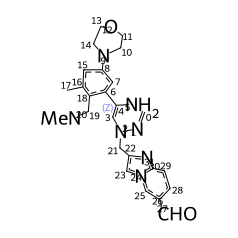 C=NN(/C=C(\N)c1cc(N2CCOCC2)cc(C)c1CNC)Cc1cn2cc(C=O)ccc2n1